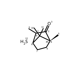 CC1C(=O)[C@]2(C)CCC1C2(C)C.S